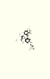 N[C@H]1C(=O)N(c2ccc3[nH]cnc3c2)[C@H]1c1c(F)cc(OCCC(F)F)cc1F